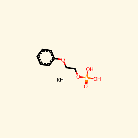 O=P(O)(O)OCCOc1ccccc1.[KH]